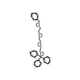 c1ccc(COCCOCCOCCOC(c2ccccc2)(c2ccccc2)c2ccccc2)cc1